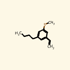 C=Cc1cc(CCCC)cc(SC)c1